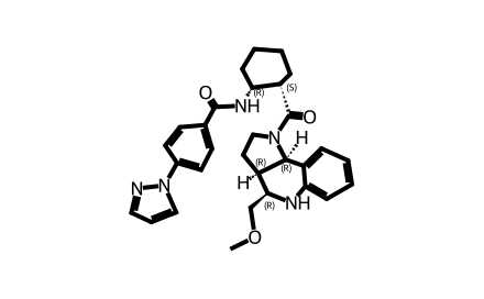 COC[C@@H]1Nc2ccccc2[C@H]2[C@@H]1CCN2C(=O)[C@H]1CCCC[C@H]1NC(=O)c1ccc(-n2cccn2)cc1